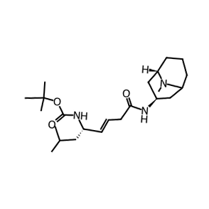 CC(C)C[C@@H](/C=C/CC(=O)N[C@@H]1CC2CCC[C@@H](C1)N2C)NC(=O)OC(C)(C)C